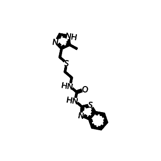 Cc1[nH]cnc1CSCCNC(=O)Nc1nc2ccccc2s1